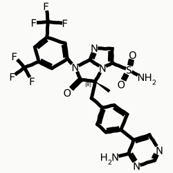 C[C@@]1(Cc2ccc(-c3cncnc3N)cc2)C(=O)N(c2cc(C(F)(F)F)cc(C(F)(F)F)c2)c2ncc(S(N)(=O)=O)n21